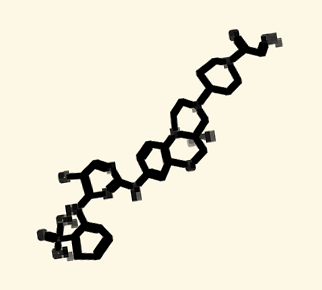 C=CC(=O)N1CCC(N2CCN3c4ccc(Nc5ncc(Cl)c(Nc6ccccc6P(C)(C)=O)n5)cc4OC[C@@H]3C2)CC1